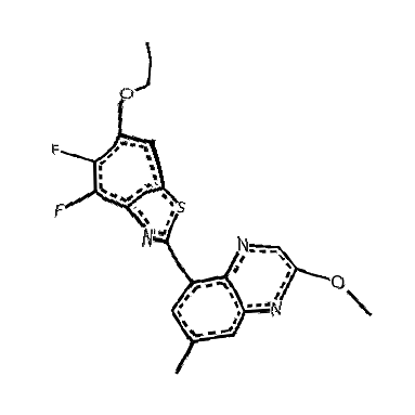 CCOc1cc2sc(-c3cc(C)cc4nc(OC)cnc34)nc2c(F)c1F